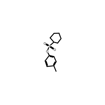 Cc1ccc(OS(=O)(=O)C2CCCCC2)cc1